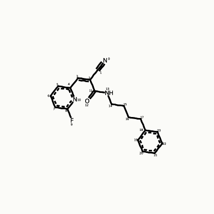 N#CC(=Cc1cccc(F)n1)C(=O)NCCCCc1ccccc1